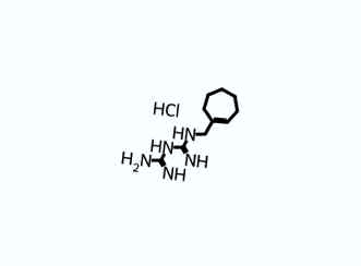 Cl.N=C(N)NC(=N)NCC1=CCCCCC1